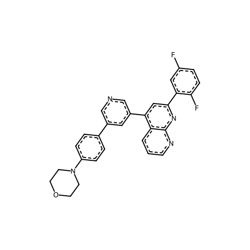 Fc1ccc(F)c(-c2cc(-c3cncc(-c4ccc(N5CCOCC5)cc4)c3)c3cccnc3n2)c1